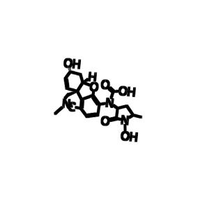 CC1CC(N(C(=O)O)c2ccc3c4c2O[C@H]2C[C@@H](O)C=C[C@@]42CCN(C)C3)C(=O)N1O